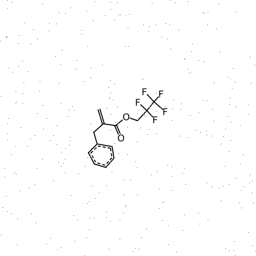 C=C(Cc1ccccc1)C(=O)OCC(F)(F)C(F)(F)F